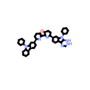 C1=Nc2c(n(-c3ccccc3)c3cc(-c4ccc5oc6ccc(-c7ccc8c9ccccc9n(-c9ccccc9)c8c7)nc6c5n4)ccc23)NN1